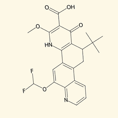 COc1[nH]c2c(c(=O)c1C(=O)O)C(C(C)(C)C)Cc1c-2cc(OC(F)F)c2ncccc12